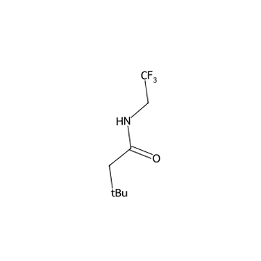 CC(C)(C)CC(=O)NCC(F)(F)F